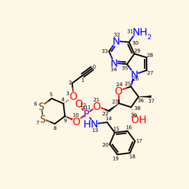 C#CCO[C@H]1CSSC[C@@H]1OP(=O)(NCc1ccccc1)OC[C@H]1O[C@@H](n2ccc3c(N)ncnc32)[C@@H](C)[C@@H]1O